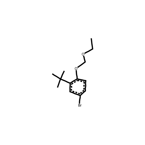 CCOCOc1ccc(Br)cc1C(C)(C)C